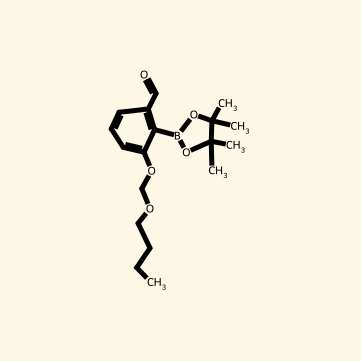 CCCCOCOc1cccc(C=O)c1B1OC(C)(C)C(C)(C)O1